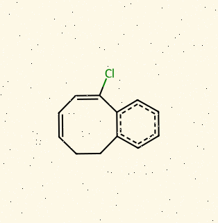 Cl/C1=C/C=C\CCc2ccccc21